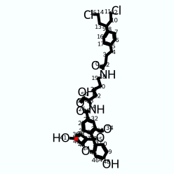 O=C(CCCc1ccc(C(CCCl)CCCl)cc1)NCCCCC(NC(=O)c1ccc2c(c1)C(=O)OC21c2ccc(O)cc2Oc2cc(O)ccc21)C(=O)O